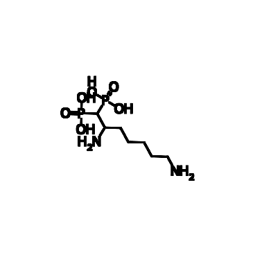 NCCCCCC(N)C(P(=O)(O)O)P(=O)(O)O